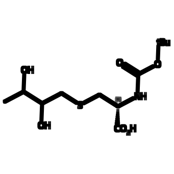 CC(O)C(O)CSC[C@H](NC(=O)OC(C)(C)C)C(=O)O